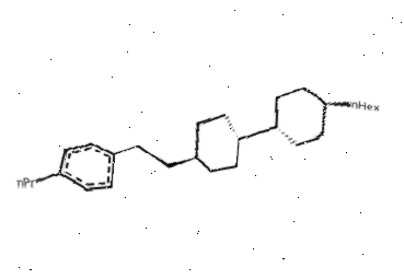 CCCCCC[C@H]1CC[C@H]([C@H]2CC[C@H](CCc3ccc(CCC)cc3)CC2)CC1